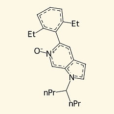 CCCC(CCC)n1ccc2cc(-c3c(CC)cccc3CC)[n+]([O-])cc21